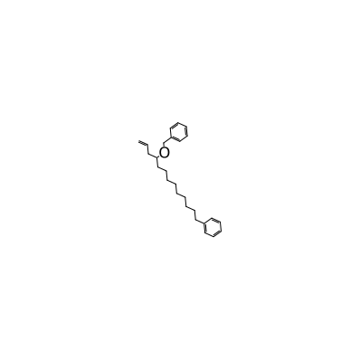 C=CCC(CCCCCCCCCc1ccccc1)OCc1ccccc1